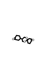 C1CC2OC2CC1C1COC2(CCC3OC3C2)OC1